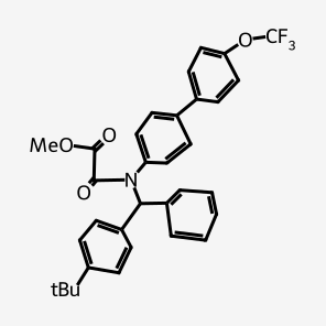 COC(=O)C(=O)N(c1ccc(-c2ccc(OC(F)(F)F)cc2)cc1)C(c1ccccc1)c1ccc(C(C)(C)C)cc1